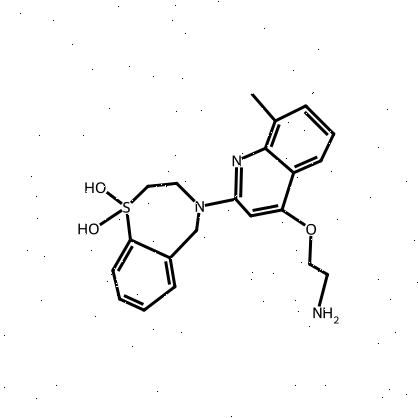 Cc1cccc2c(OCCN)cc(N3CCS(O)(O)c4ccccc4C3)nc12